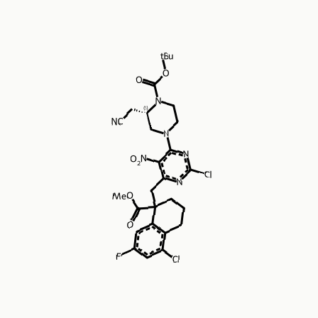 COC(=O)C1(Cc2nc(Cl)nc(N3CCN(C(=O)OC(C)(C)C)[C@@H](CC#N)C3)c2[N+](=O)[O-])CCCc2c(Cl)cc(F)cc21